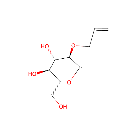 C=CCO[C@H]1[CH]O[C@H](CO)[C@@H](O)[C@@H]1O